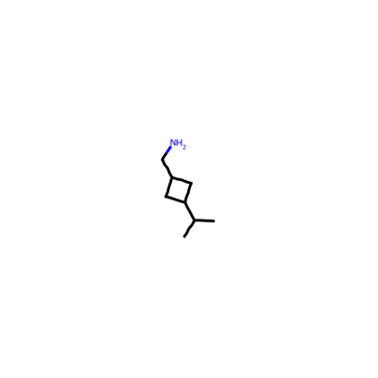 CC(C)C1CC(CN)C1